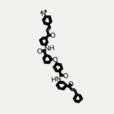 CN(C)c1ccc(/C=C/C(=O)c2cccc(NC(=O)c3cccc(Oc4ccc(C(=O)Nc5cccc(C(=O)/C=C/c6ccccc6)c5)cc4)c3)c2)cc1